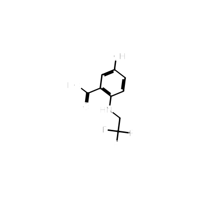 Cc1ccc(NCC(F)(F)F)c(C(=O)O)c1